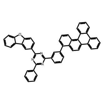 c1ccc(-c2nc(-c3cccc(-c4cccc5c4ccc4c6ccccc6c6ccccc6c54)c3)nc(-c3ccc4oc5ccccc5c4c3)n2)cc1